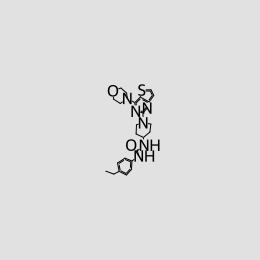 CCc1ccc(NC(=O)NC2CCN(c3nc(N4CCOCC4)c4sccc4n3)CC2)cc1